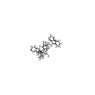 CS(=O)(=O)C(=O)Cn1cc(C[C@H](NC(=O)OCC2c3ccccc3-c3ccccc32)C(=O)O)c2ccccc21